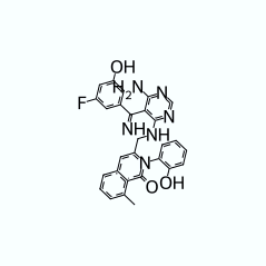 Cc1cccc2cc(CNc3ncnc(N)c3C(=N)c3cc(O)cc(F)c3)n(-c3ccccc3O)c(=O)c12